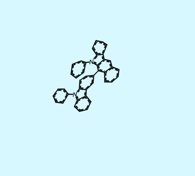 c1ccc(-n2c3ccccc3c3cc(-c4c5ccccc5cc5c6ccccc6n(-c6ccccc6)c45)ccc32)cc1